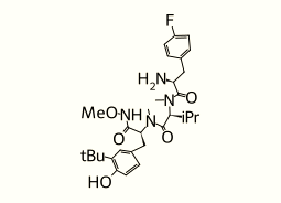 CONC(=O)[C@H](Cc1ccc(O)c(C(C)(C)C)c1)N(C)C(=O)[C@H](C(C)C)N(C)C(=O)[C@@H](N)Cc1ccc(F)cc1